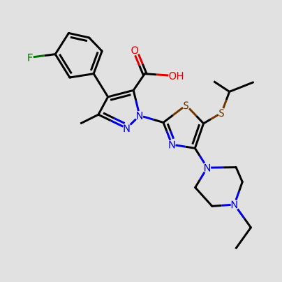 CCN1CCN(c2nc(-n3nc(C)c(-c4cccc(F)c4)c3C(=O)O)sc2SC(C)C)CC1